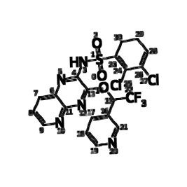 O=S(=O)(Nc1nc2cccnc2nc1OC(c1cccnc1)C(F)(F)F)C1=C(Cl)C(Cl)=CCC1